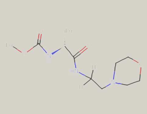 [2H]C([2H])(CN1CCOCC1)NC(=O)[C@@H](NC(=O)OC(C)(C)C)[C@@H](C)CC